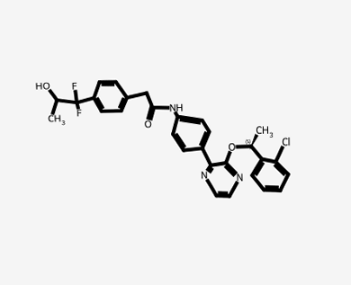 CC(O)C(F)(F)c1ccc(CC(=O)Nc2ccc(-c3nccnc3O[C@@H](C)c3ccccc3Cl)cc2)cc1